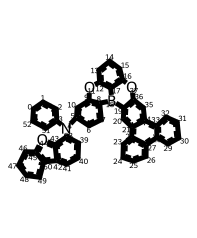 c1ccc(N(c2ccc3c(c2)Oc2cccc4c2B3c2cc3c5ccccc5c5ccccc5c3cc2O4)c2cccc3c2oc2ccccc23)cc1